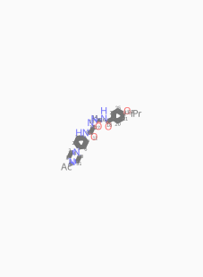 CC(=O)N1CCN(c2ccc(NC(=O)c3nnc(NC(=O)c4ccc(OC(C)C)cc4)o3)cc2)CC1